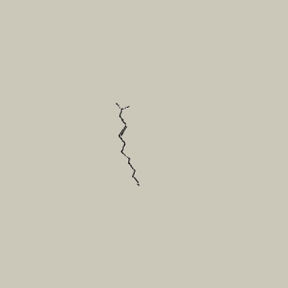 CCCCCCCC=CCC(C)C